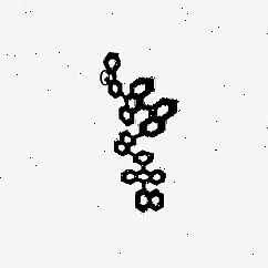 c1cc(-c2cccc3ccc(-c4ccc5cccc(-c6c7ccccc7c(-c7ccc8oc9ccccc9c8c7)c7ccccc67)c5c4)cc23)cc(-c2c3ccccc3c(-c3cccc4ccccc34)c3ccccc23)c1